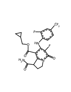 NC(=O)C1CCn2c1c(C(=O)OCC1CC1)c(Nc1ccc(C(F)(F)F)cc1F)c(F)c2=O